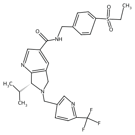 CCS(=O)(=O)c1ccc(CNC(=O)c2cnc3c(c2)CN(Cc2ccc(C(F)(F)F)nc2)[C@@H]3C(C)C)cc1